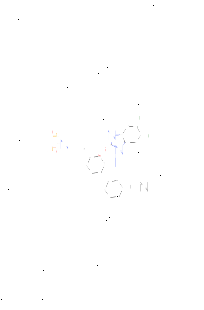 CS(=O)(=O)N1CCC(COc2nc3cc(Cl)c(Cl)cc3[nH]2)(c2ccc(-c3cccc(C#N)c3)cc2)CC1